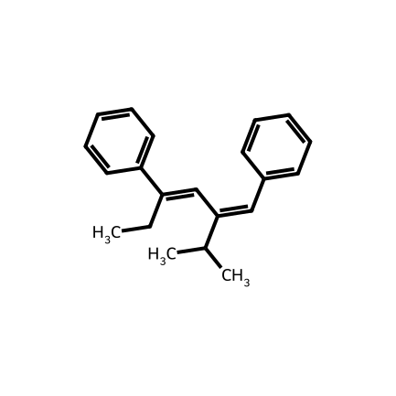 CCC(=CC(=Cc1ccccc1)C(C)C)c1ccccc1